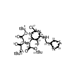 CC(C)(C)OC(=O)N(C(=O)OC(C)(C)C)N(C(=O)OC(C)(C)C)c1nc(Cl)nc(NCc2cscn2)c1F